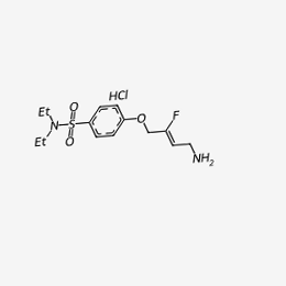 CCN(CC)S(=O)(=O)c1ccc(OCC(F)=CCN)cc1.Cl